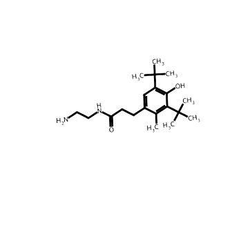 Cc1c(CCC(=O)NCCN)cc(C(C)(C)C)c(O)c1C(C)(C)C